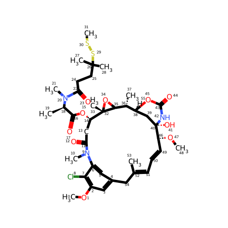 COc1cc2cc(c1Cl)N(C)C(=O)C[C@H](OC(=O)[C@@H](C)N(C)C(=O)CCC(C)(C)SSC)[C@]1(C)OC1[C@H](C)[C@@H]1C[C@@](O)(NC(=O)O1)[C@H](OC)/C=C/C=C(\C)C2